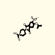 CC(C)Oc1cc2c(cc1[N+](=O)[O-])C(=O)N(C1CCN(C(=O)O)CC1)C2=O